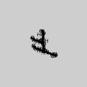 CC(=O)SCC(=O)NCCCCCC(=O)NCCN(CCNC(=O)CCCCCNC(=O)CSC(C)=O)C(=O)OCCOCCOC(=O)N(CCNC(=O)CCCCCNC(=O)CSC(C)=O)CCNC(=O)CCCCCNC(=O)CSC(C)=O